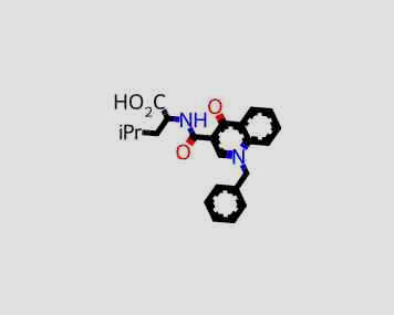 CC(C)CC(NC(=O)c1cn(Cc2ccccc2)c2ccccc2c1=O)C(=O)O